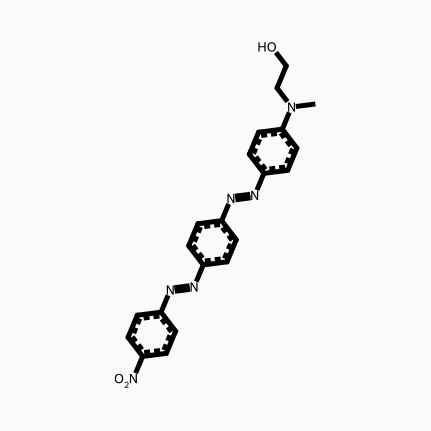 CN(CCO)c1ccc(/N=N/c2ccc(N=Nc3ccc([N+](=O)[O-])cc3)cc2)cc1